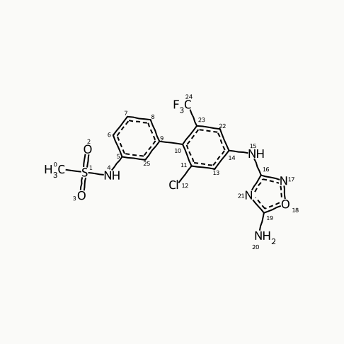 CS(=O)(=O)Nc1cccc(-c2c(Cl)cc(Nc3noc(N)n3)cc2C(F)(F)F)c1